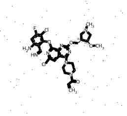 C=CC(=O)N1CCN(c2nc(OC[C@@H]3CN(C)C[C@H]3OC)nc3c(Oc4c(Cl)c(F)cc(N)c4C=N)nc(Cl)cc23)CC1